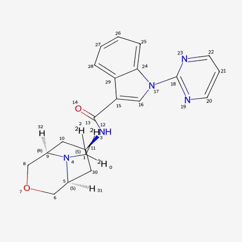 [2H]C([2H])([2H])N1[C@@H]2COC[C@H]1C[C@@H](NC(=O)c1cn(-c3ncccn3)c3ccccc13)C2